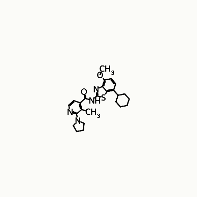 COc1ccc(C2CCCCC2)c2sc(NC(=O)c3ccnc(N4CCCC4)c3C)nc12